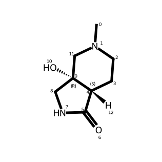 CN1CC[C@@H]2C(=O)NC[C@@]2(O)C1